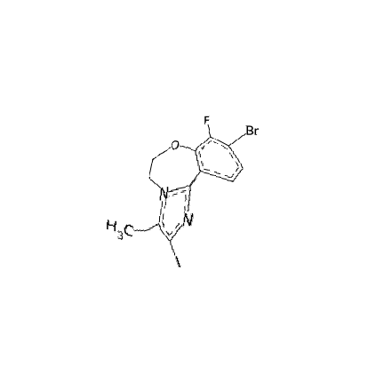 Cc1c(I)nc2n1CCOc1c-2ccc(Br)c1F